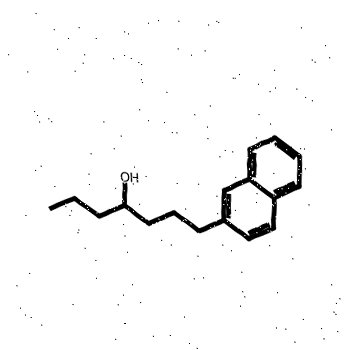 CCCC(O)CCCc1ccc2ccccc2c1